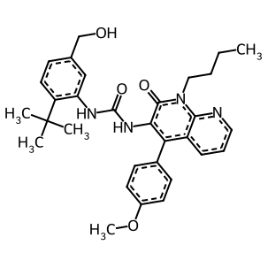 CCCCn1c(=O)c(NC(=O)Nc2cc(CO)ccc2C(C)(C)C)c(-c2ccc(OC)cc2)c2cccnc21